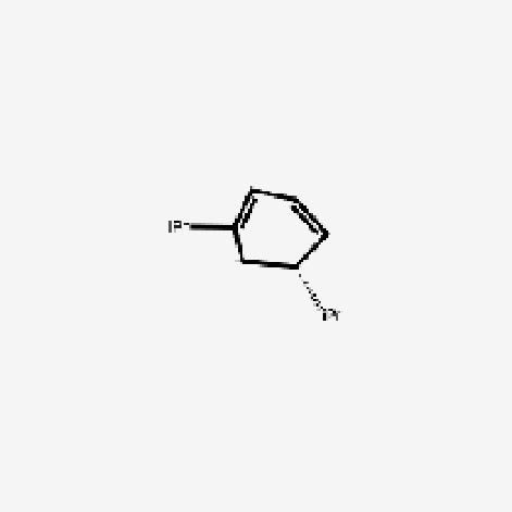 CC(C)C1=CC=C[C@H](C(C)C)[CH]1